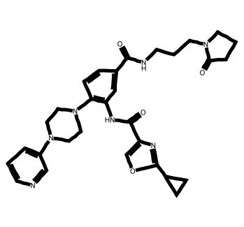 O=C(NCCCN1CCCC1=O)c1ccc(N2CCN(c3cccnc3)CC2)c(NC(=O)c2coc(C3CC3)n2)c1